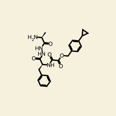 C[C@H](N)C(=O)NNC(=O)[C@H](Cc1ccccc1)NC(=O)C(=O)OCc1ccc(C2CC2)cc1